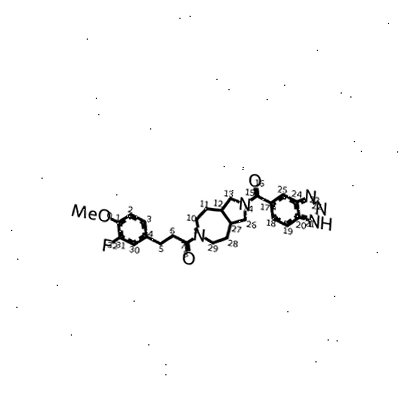 COc1ccc(CCC(=O)N2CCC3CN(C(=O)c4ccc5[nH]nnc5c4)CC3CC2)cc1F